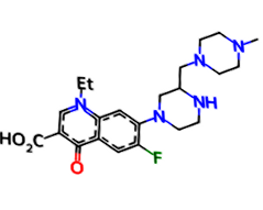 CCn1cc(C(=O)O)c(=O)c2cc(F)c(N3CCNC(CN4CCN(C)CC4)C3)cc21